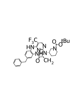 C=CC(=O)Nc1cc(Cc2ccccc2)ccc1Nc1nc(N[C@H]2CCCN(C(=O)OC(C)(C)C)C2)ncc1C(F)(F)F